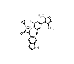 Cc1noc(C)c1-c1cc(F)c([C@H]2[C@@H](C3CC3)C(=O)N2c2ccc3[nH]cnc3c2)c(F)c1